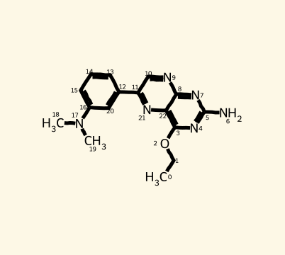 CCOc1nc(N)nc2ncc(-c3cccc(N(C)C)c3)nc12